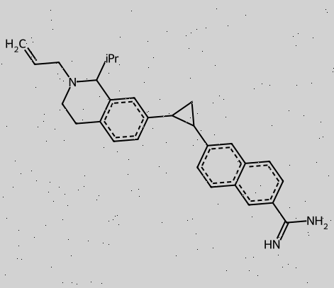 C=CCN1CCc2ccc(C3CC3c3ccc4cc(C(=N)N)ccc4c3)cc2C1C(C)C